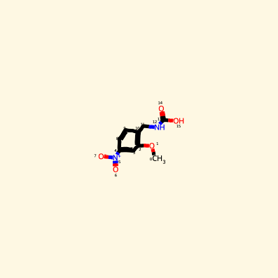 COc1cc([N+](=O)[O-])ccc1CNC(=O)O